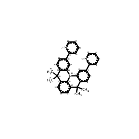 CC1(C)c2ccc(-c3ccccn3)cc2N2c3cc(-c4ccccn4)ccc3C(C)(C)c3cccc1c32